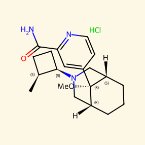 CO[C@@]1(c2ccnc(C(N)=O)c2)[C@@H]2CCC[C@H]1CN([C@@H]1CC[C@@H]1C)C2.Cl